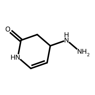 NNC1C=CNC(=O)C1